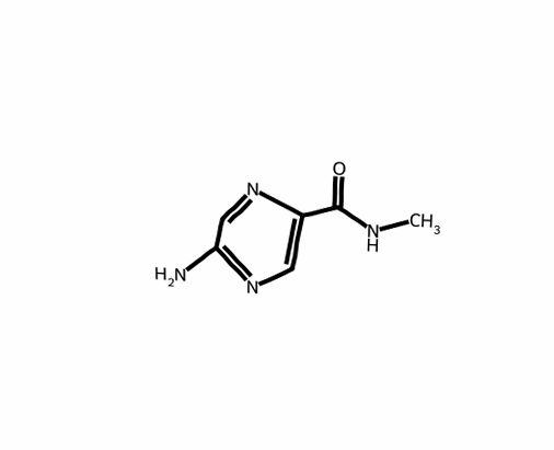 CNC(=O)c1cnc(N)cn1